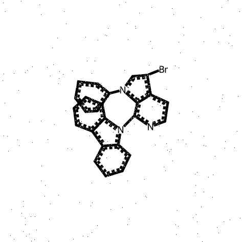 Brc1cn(-c2ccccc2)c2c(-n3c4ccccc4c4ccccc43)nccc12